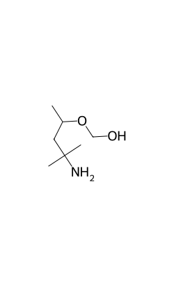 CC(CC(C)(C)N)OCO